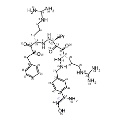 CC(C)[C@H](NN[C@@H](CCCNC(N)N)C(=O)C(=O)Cc1ccccc1)C(=O)C(=O)[C@H](CCCNC(N)N)NNCc1ccc(/C(N)=N/O)cc1